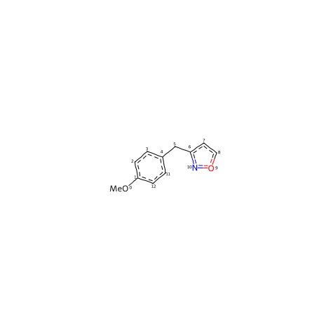 COc1ccc(Cc2ccon2)cc1